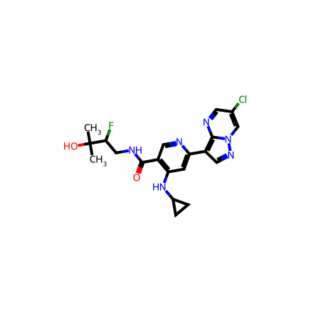 CC(C)(O)C(F)CNC(=O)c1cnc(-c2cnn3cc(Cl)cnc23)cc1NC1CC1